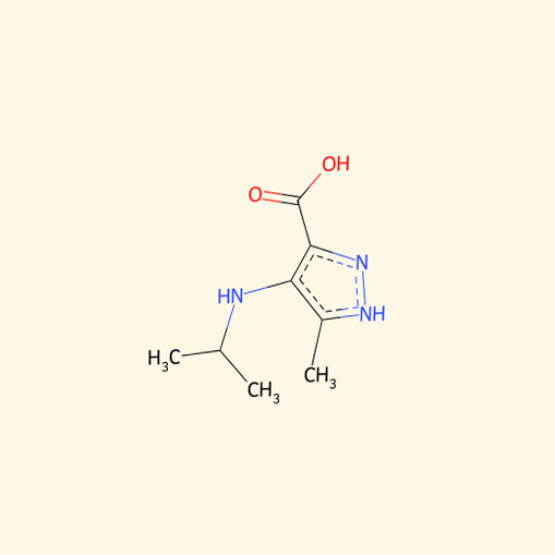 Cc1[nH]nc(C(=O)O)c1NC(C)C